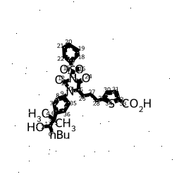 CCCCC(O)C(C)(C)c1ccc(N2C(=O)N(S(=O)(=O)c3ccccc3)C(=O)C2CCCc2ccc(C(=O)O)s2)cc1